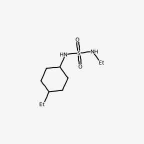 CCNS(=O)(=O)NC1CCC(CC)CC1